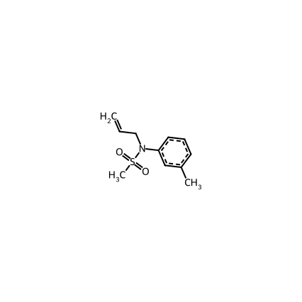 C=CCN(c1cccc(C)c1)S(C)(=O)=O